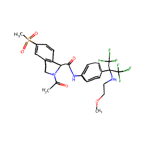 COCCNC(c1ccc(NC(=O)C2c3ccc(S(C)(=O)=O)cc3CN2C(C)=O)cc1)(C(F)(F)F)C(F)(F)F